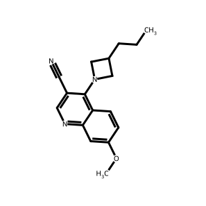 CCCC1CN(c2c(C#N)cnc3cc(OC)ccc23)C1